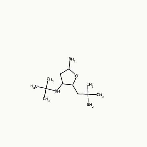 BC1CC(BC(C)(C)C)C(CC(B)(C)C)O1